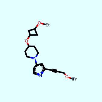 CCOC1CC(OC2CCN(c3ccnc(C#CCOC(C)C)c3)CC2)C1